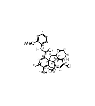 COc1ccccc1NC(=O)C1=CN(C)C(S)=C(C#N)C1(CC1CNCCO1)c1ccc(Cl)cc1Cl